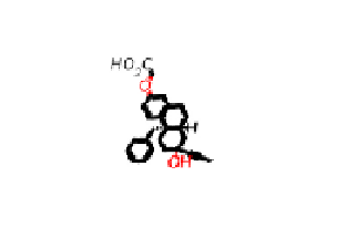 CC#C[C@@]1(O)CC[C@@]2(Cc3ccccc3)c3ccc(OCC(=O)O)cc3CC[C@@H]2C1